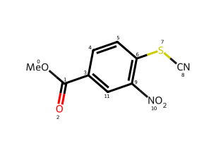 COC(=O)c1ccc(SC#N)c([N+](=O)[O-])c1